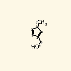 CC1C=CC(CO)=C1